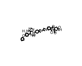 N=C(c1ccc(Oc2ccccc2)cc1)c1c(N)ncnc1NC1CCC2(CC1)CN(C1CN(c3ccc4c(c3)C(=O)N(C3(C=O)CCC(=O)NC3)C4=O)C1)C2